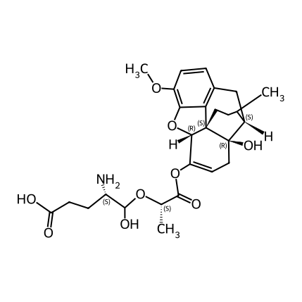 COc1ccc2c3c1O[C@H]1C(OC(=O)[C@H](C)OC(O)[C@@H](N)CCC(=O)O)=CC[C@@]4(O)[C@@H](C2)C(C)CC[C@]314